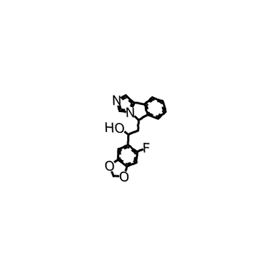 OC(CC1c2ccccc2-c2cncn21)c1cc2c(cc1F)OCO2